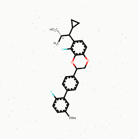 COc1ccc(F)c(-c2ccc(C3COc4ccc(C(C5CC5)[C@H](C)C(=O)O)c(F)c4O3)cc2)c1